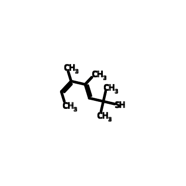 CC=C(C)C(C)=CC(C)(C)S